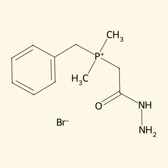 C[P+](C)(CC(=O)NN)Cc1ccccc1.[Br-]